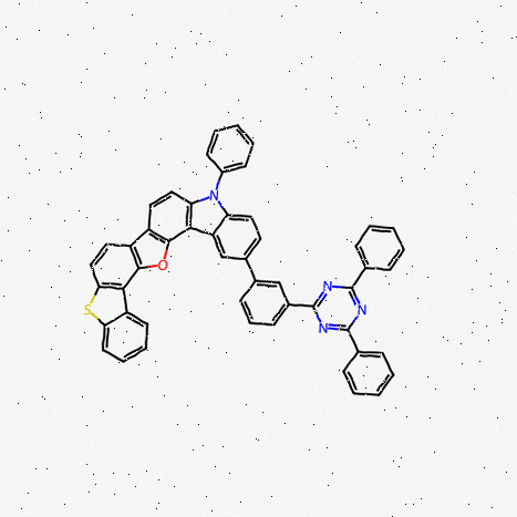 c1ccc(-c2nc(-c3ccccc3)nc(-c3cccc(-c4ccc5c(c4)c4c6oc7c(ccc8sc9ccccc9c87)c6ccc4n5-c4ccccc4)c3)n2)cc1